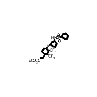 CCOC(=O)C=Cc1ccc(Sc2cccc(NS(=O)(=O)c3ccccc3)c2)c(C(F)(F)F)c1C(F)(F)F